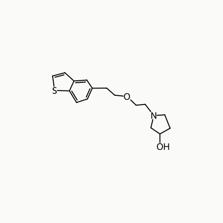 OC1CCN(CCOCCc2ccc3sccc3c2)C1